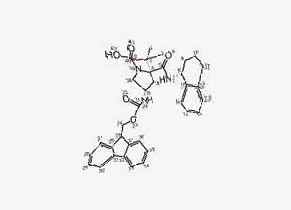 CC(C)(C)[C@]1(C(=O)N[C@@H]2CCCc3ccccc32)C[C@H](NC(=O)OCC2c3ccccc3-c3ccccc32)CN1C(=O)O